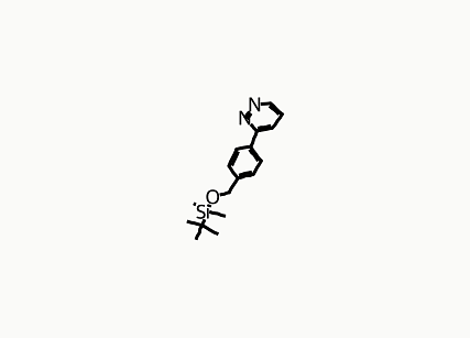 CC(C)(C)[Si](C)(C)OCc1ccc(-c2cccnn2)cc1